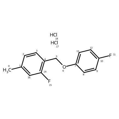 Cc1ccc(COc2ccc(F)cc2)c(F)c1.Cl.Cl